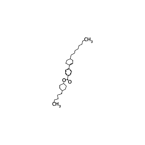 CCCCCCCCC1CC=C(c2ccc(C(=O)O[C@H]3CC[C@H](CCCCC)CC3)cc2)CC1